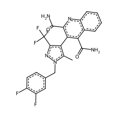 Cc1c(-c2c(C(N)=O)nc3ccccc3c2C(N)=O)c(C(F)(F)F)nn1Cc1ccc(F)c(F)c1